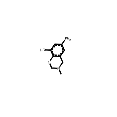 CN1COc2c(O)cc(P)cc2C1